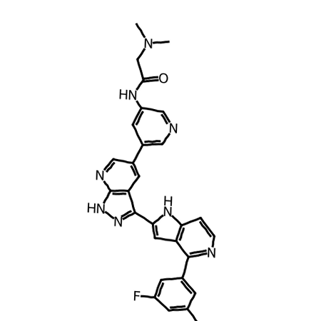 Cc1cc(F)cc(-c2nccc3[nH]c(-c4n[nH]c5ncc(-c6cncc(NC(=O)CN(C)C)c6)cc45)cc23)c1